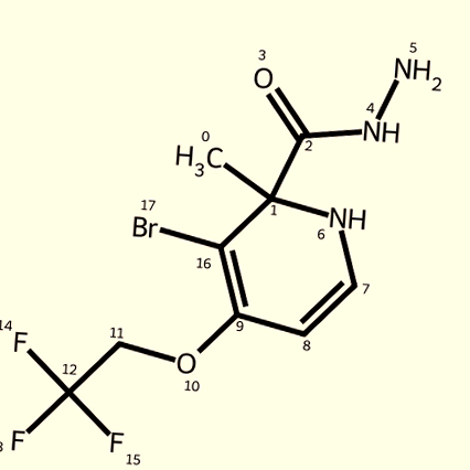 CC1(C(=O)NN)NC=CC(OCC(F)(F)F)=C1Br